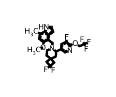 COc1cc(C)c2[nH]ccc2c1CN1CCC2(CC1c1cnc(OCC(F)(F)F)c(F)c1)CC(F)(F)C2